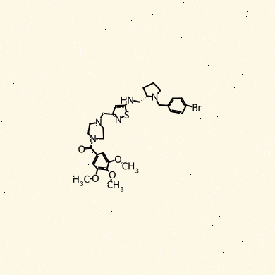 COc1cc(C(=O)N2CCN(Cc3cc(NC[C@@H]4CCCN4Cc4ccc(Br)cc4)sn3)CC2)cc(OC)c1OC